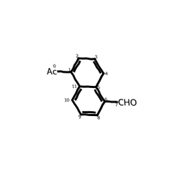 CC(=O)c1cccc2c(C=O)cccc12